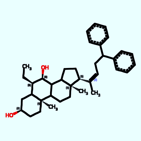 CC[C@@H]1C2C[C@H](O)CC[C@]2(C)C2CC[C@@]3(C)C(CC[C@@H]3/C(C)=C\CC(c3ccccc3)c3ccccc3)C2[C@@H]1O